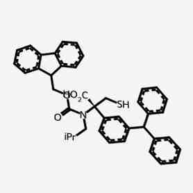 CC(C)CN(C(=O)OCC1c2ccccc2-c2ccccc21)[C@@](CS)(C(=O)O)c1cccc(C(c2ccccc2)c2ccccc2)c1